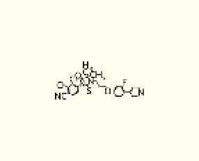 Cc1c(N2C(=O)C(C)(C)N(CCCOc3ccc(-c4ccncc4)c(F)c3)C2=S)ccc(C#N)c1Cl